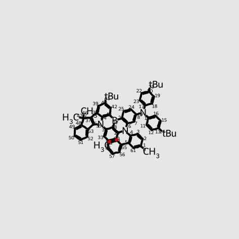 Cc1ccc(N2c3cc(N(c4ccc(C(C)(C)C)cc4)c4ccc(C(C)(C)C)cc4)ccc3B3c4c2cc(C)cc4-n2c4c(c5cc(C(C)(C)C)cc3c52)C(C)(C)c2ccccc2-4)c(-c2ccccc2)c1